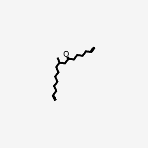 C=CCCCCCCC(C)CC(=O)CCCCC=C